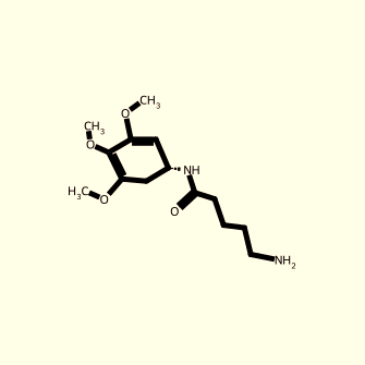 COC1=C[C@H](NC(=O)CCCCN)CC(OC)=C1OC